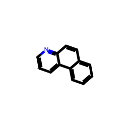 [c]1cnc2ccc3ccccc3c2c1